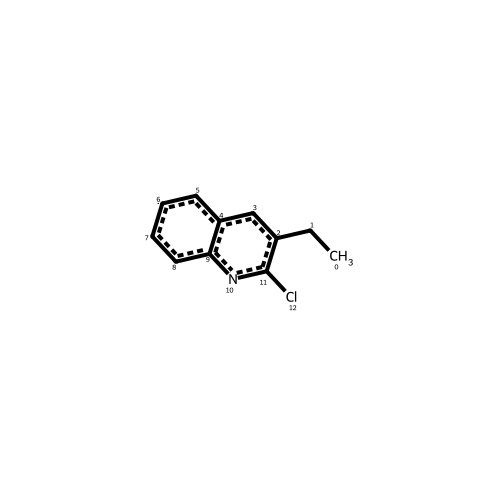 CCc1cc2c[c]ccc2nc1Cl